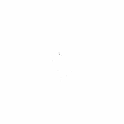 CC[N+]1(C2CCCCC2)CC=CC=C1CC1SC=C(OC)C1=O